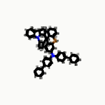 c1ccc(-c2ccc(N(c3ccc(-c4ccccc4)cc3)c3ccc4c(c3)Sc3ccccc3C43c4ccccc4-n4c5ccccc5c5cccc3c54)cc2)cc1